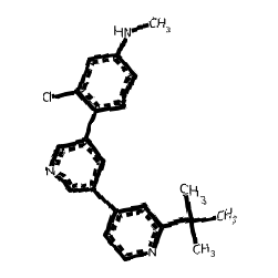 CNc1ccc(-c2cncc(-c3ccnc(C(C)(C)C)c3)c2)c(Cl)c1